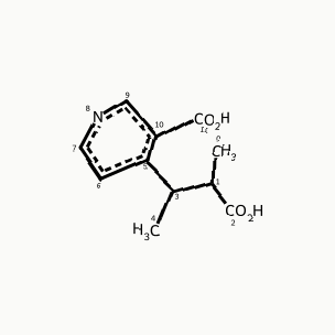 CC(C(=O)O)C(C)c1ccncc1C(=O)O